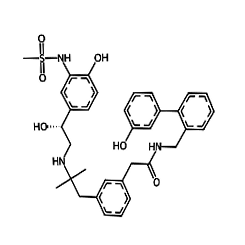 CC(C)(Cc1cccc(CC(=O)NCc2ccccc2-c2cccc(O)c2)c1)NC[C@H](O)c1ccc(O)c(NS(C)(=O)=O)c1